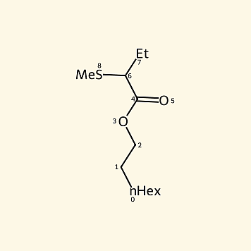 CCCCCCCCOC(=O)C(CC)SC